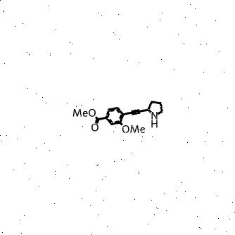 COC(=O)c1ccc(C#CC2CCCN2)c(OC)c1